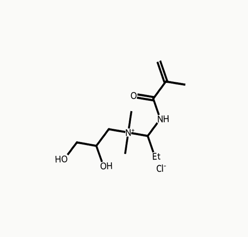 C=C(C)C(=O)NC(CC)[N+](C)(C)CC(O)CO.[Cl-]